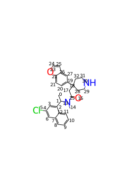 CC(c1cc(Cl)cc2ccccc12)N(C)C(=O)CC1(c2ccc3occc3c2)CCNCC1